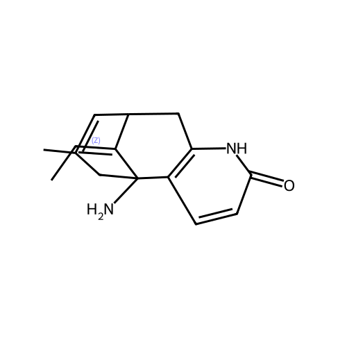 C/C=C1/C2C=C(C)CC1(N)c1ccc(=O)[nH]c1C2